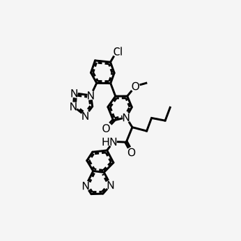 CCCCC(C(=O)Nc1ccc2nccnc2c1)n1cc(OC)c(-c2cc(Cl)ccc2-n2cnnn2)cc1=O